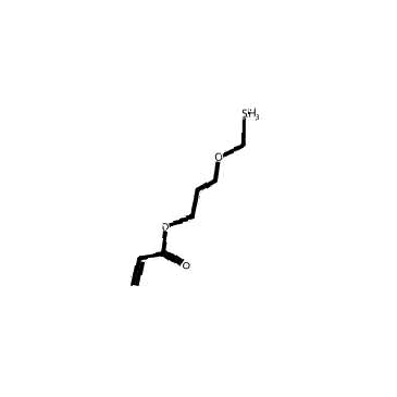 C=CC(=O)OCCCOC[SiH3]